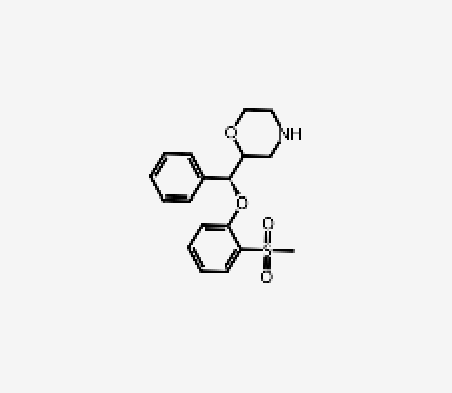 CS(=O)(=O)c1ccccc1O[C@@H](c1ccccc1)C1CNCCO1